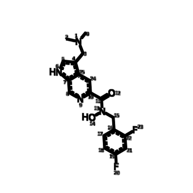 CN(C)Cc1c[nH]c2cnc(C(=O)N(O)Cc3ccc(F)cc3F)cc12